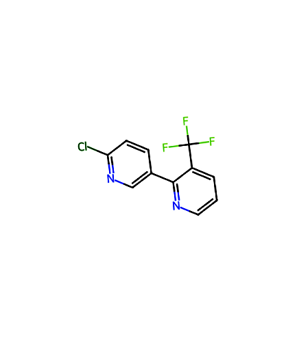 FC(F)(F)c1cccnc1-c1ccc(Cl)nc1